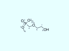 COP(=O)(COCCO)OC